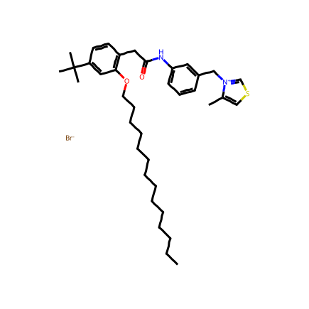 CCCCCCCCCCCCCCOc1cc(C(C)(C)C)ccc1CC(=O)Nc1cccc(C[n+]2cscc2C)c1.[Br-]